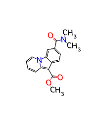 COC(=O)c1c2ccc(C(=O)N(C)C)cc2n2ccccc12